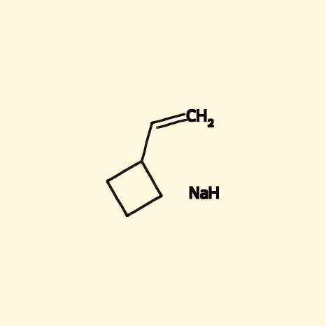 C=CC1CCC1.[NaH]